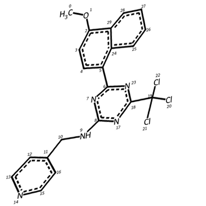 COc1ccc(-c2nc(NCc3ccncc3)nc(C(Cl)(Cl)Cl)n2)c2ccccc12